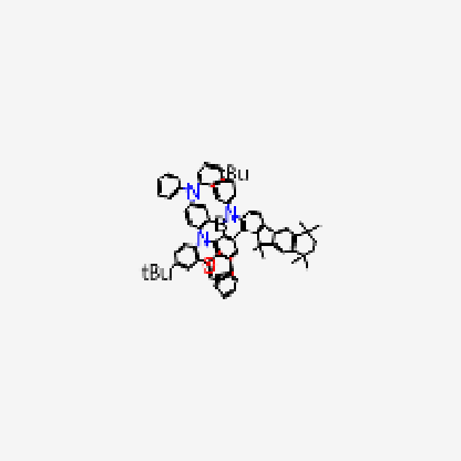 CC(C)(C)c1ccc(N2B3c4cc(N(c5ccccc5)c5ccccc5)ccc4N(c4ccc(C(C)(C)C)cc4-c4ccccc4)c4c3c(cc3c4oc4ccccc43)-c3c2ccc2c3C(C)(C)c3cc4c(cc3-2)C(C)(C)CCC4(C)C)cc1